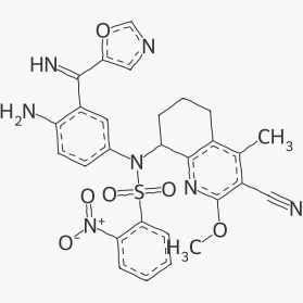 COc1nc2c(c(C)c1C#N)CCCC2N(c1ccc(N)c(C(=N)c2cnco2)c1)S(=O)(=O)c1ccccc1[N+](=O)[O-]